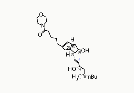 CCCC[C@H](C)C[C@H](O)/C=C/[C@@H]1[C@H]2CC(CCCCC(=O)N3CCOCC3)=C[C@H]2C[C@H]1O